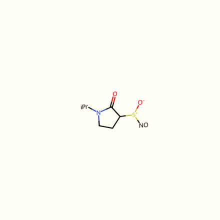 CC(C)N1CCC([S+]([O-])N=O)C1=O